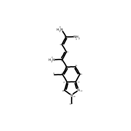 Cc1c(/C(N)=C/C=C(N)N)ccc2nn(C)cc12